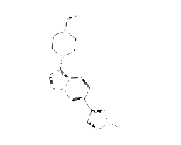 Cn1cc(-c2ccc3c(N4CCN(C=O)CC4)cnn3c2)cn1